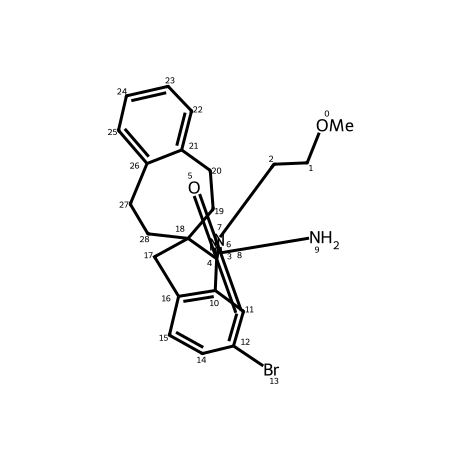 COCCN1C(=O)C2(N=C1N)c1cc(Br)ccc1CC21CCc2ccccc2CC1